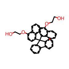 OCCOc1ccc(C2(c3ccc(OCCO)c4ccccc34)c3ccccc3-c3ccccc32)c2ccccc12